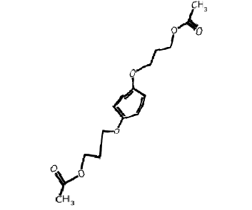 CC(=O)OCCCOc1ccc(OCCCOC(C)=O)cc1